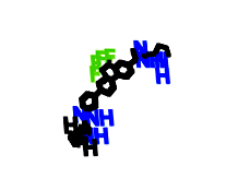 FC1(F)c2cc(-c3ccc4nc([C@H]5N[C@@H]6CC[C@H]5C6)[nH]c4c3)ccc2-c2ccc(-c3cnc(C4CCCN4)[nH]3)cc2C1(F)F